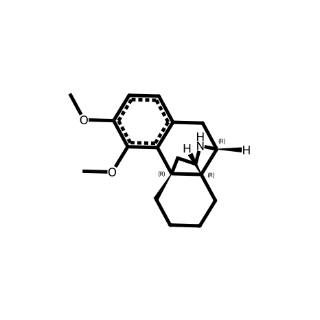 COc1ccc2c(c1OC)[C@@]13CCCC[C@H]1[C@@H](C2)NCC3